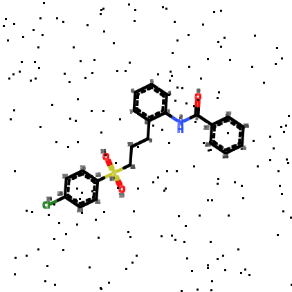 O=C(Nc1ccccc1CCCS(=O)(=O)c1ccc(Cl)cc1)c1ccccc1